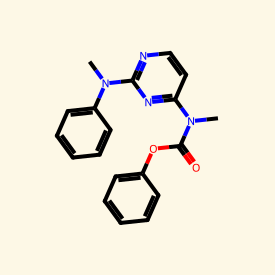 CN(C(=O)Oc1ccccc1)c1ccnc(N(C)c2ccccc2)n1